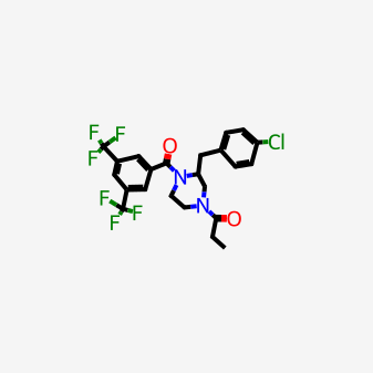 CCC(=O)N1CCN(C(=O)c2cc(C(F)(F)F)cc(C(F)(F)F)c2)C(Cc2ccc(Cl)cc2)C1